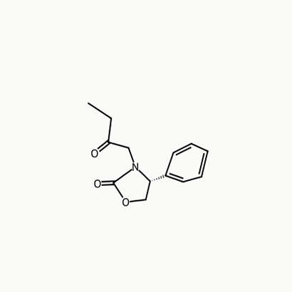 CCC(=O)CN1C(=O)OC[C@H]1c1ccccc1